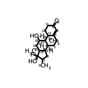 CC1C[C@H]2[C@@H]3CCC4=CC(=O)CC[C@]4(C)[C@@H]3C(O)C[C@]2(C)C1(O)F